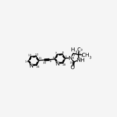 CC1(C)CN(c2ccc(C#Cc3cccnc3)nc2)C(=O)N1